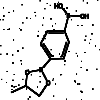 CC1COB(c2ccc(B(O)O)cc2)O1